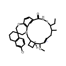 CCC1SNC(=O)c2ccc3c(c2)N(CC2CC[C@H]2C(OC)/C=C/CC1C)CC1(CCCc2cc(Cl)ccc21)CO3